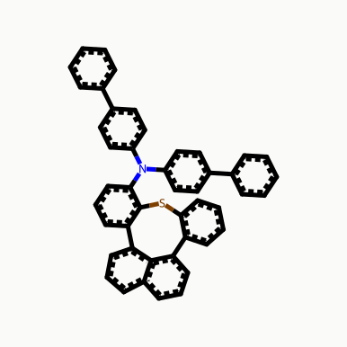 c1ccc(-c2ccc(N(c3ccc(-c4ccccc4)cc3)c3cccc4c3Sc3ccccc3-c3cccc5cccc-4c35)cc2)cc1